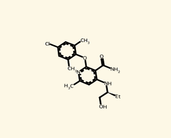 CC[C@@H](CO)Nc1cc(C)nc(Oc2c(C)cc(Cl)cc2C)c1C(N)=O